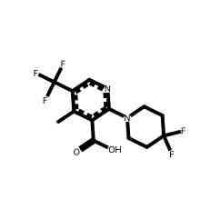 Cc1c(C(F)(F)F)cnc(N2CCC(F)(F)CC2)c1C(=O)O